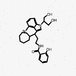 O=C(NCCC(c1cn(C(CO)CO)c2cccc(Br)c12)C1CCCCCC1)c1ccccc1O